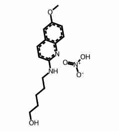 COc1ccc2nc(NCCCCCO)ccc2c1.O=[N+]([O-])O